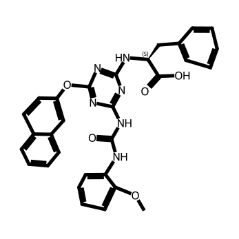 COc1ccccc1NC(=O)Nc1nc(N[C@@H](Cc2ccccc2)C(=O)O)nc(Oc2ccc3ccccc3c2)n1